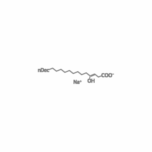 CCCCCCCCCCCCCCCCCCCC(O)=CCC(=O)[O-].[Na+]